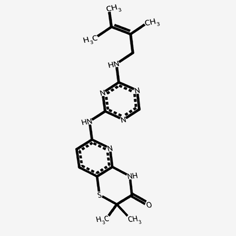 CC(C)=C(C)CNc1ncnc(Nc2ccc3c(n2)NC(=O)C(C)(C)S3)n1